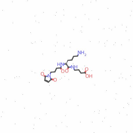 NCCCC[C@H](NC(=O)CCCN1C(=O)C=CC1=O)C(=O)NCCCC(=O)O